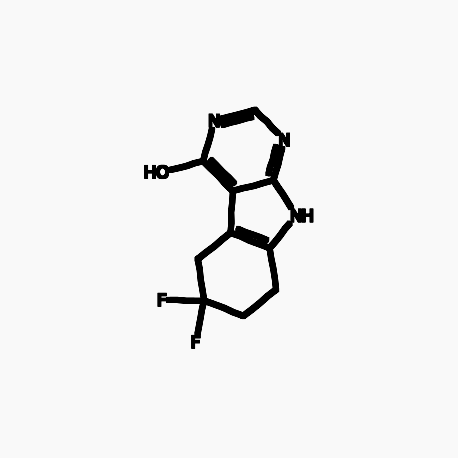 Oc1ncnc2[nH]c3c(c12)CC(F)(F)CC3